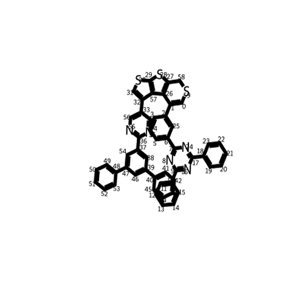 C1=C(c2cccc(-c3nc(-c4ccccc4)nc(-c4ccccc4)n3)c2)c2c(sc3scc(-c4cnc(-c5cc(-c6ccccc6)cc(-c6ccccc6)c5)nc4)c23)CS1